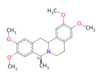 COc1cc2c(cc1OC)C1Cc3cc(OC)c(OC)cc3[C@H](C)N1CC2